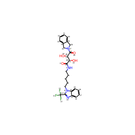 O=C(NCCCCCn1c(C(F)(F)F)nc2ccccc21)[C@H](O)[C@@H](O)C(=O)N1Cc2ccccc2C1